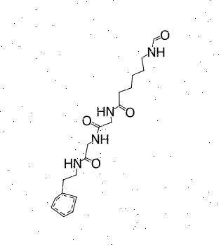 O=CNCCCCCC(=O)NCC(=O)NCC(=O)NCCc1ccccc1